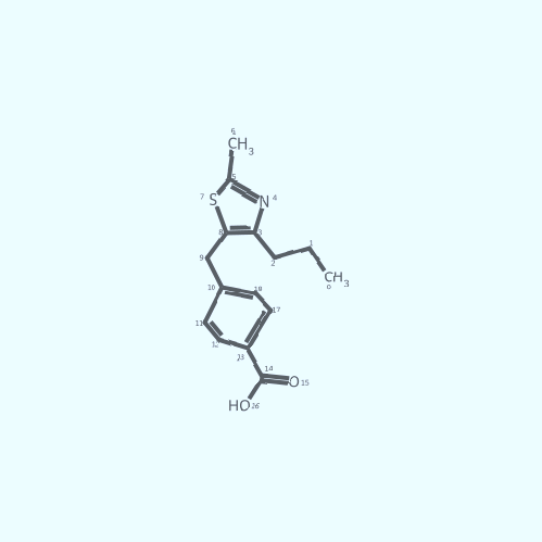 CCCc1nc(C)sc1Cc1ccc(C(=O)O)cc1